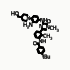 Cc1c(NC(=O)c2ccc(C(C)(C)C)cc2)cccc1-c1cn(C)c(=O)c(Nc2ccc(N3CCC(CO)CC3)c(N)c2)n1